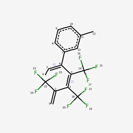 C=C(/C(=C(\C(=C/C)c1cccc(C)c1)C(F)(F)F)C(F)(F)F)C(F)(F)F